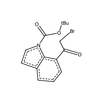 CC(C)(C)OC(=O)n1ccc2cccc(C(=O)CBr)c21